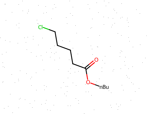 CCCCOC(=O)CCCCCl